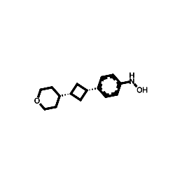 ONc1ccc([C@H]2C[C@@H](C3CCOCC3)C2)cc1